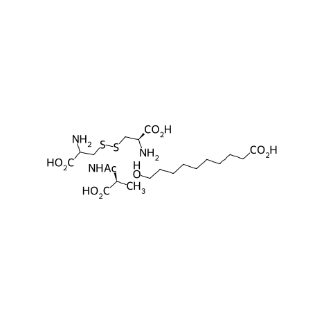 CC(=O)N[C@@H](C)C(=O)O.NC(CSSC[C@H](N)C(=O)O)C(=O)O.O=C(O)CCCCCCCCCO